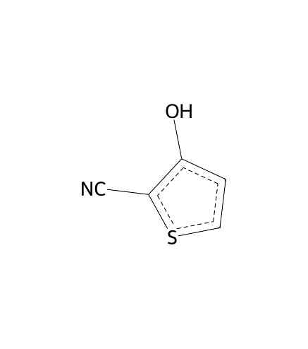 N#Cc1sccc1O